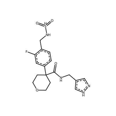 O=C(NCc1cn[nH]c1)C1(c2ccc(CN[SH](=O)=O)c(F)c2)CCOCC1